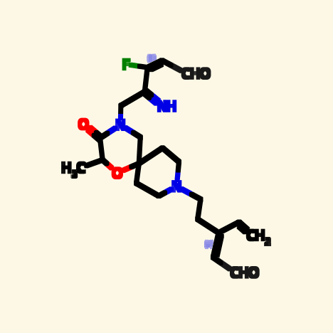 C=C/C(=C\C=O)CCN1CCC2(CC1)CN(CC(=N)/C(F)=C\C=O)C(=O)C(C)O2